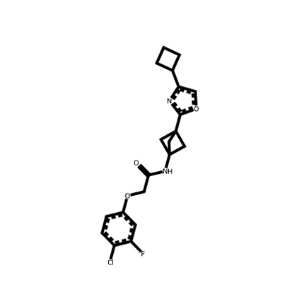 O=C(COc1ccc(Cl)c(F)c1)NC12CC(c3nc(C4CCC4)co3)(C1)C2